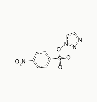 O=[N+]([O-])c1ccc(S(=O)(=O)On2ccnn2)cc1